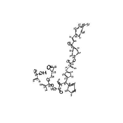 C=C(C(=O)O)C(C1=CC=CC1)C1=CC=CC1.C=C(C)C(=O)O.C=C(C)C(=O)OCC1CO1.C=C(C)C(=O)Oc1ccc(C(=O)C=Cc2ccc(C)cc2)cc1